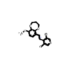 COc1ccc(/C=C/c2c(Cl)cncc2Cl)c2c1OCCCO2